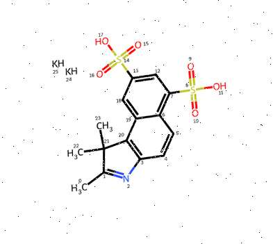 CC1=Nc2ccc3c(S(=O)(=O)O)cc(S(=O)(=O)O)cc3c2C1(C)C.[KH].[KH]